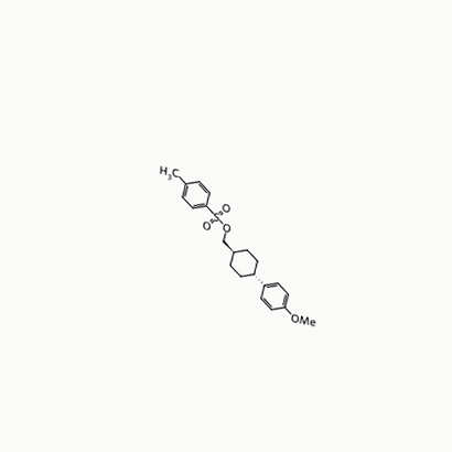 COc1ccc([C@H]2CC[C@H](COS(=O)(=O)c3ccc(C)cc3)CC2)cc1